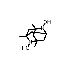 CC12CC3(C)CC(CC(C)(C1)N3O)N2O